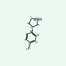 Fc1ccc([C@H]2[CH]CNC2)cc1